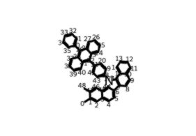 Cc1cc2ccc3c4ccc5ccccc5c4n(-c4ccc(-c5c6ccccc6c(-c6ccccc6)c6ccccc56)cc4)c3c2cc1C